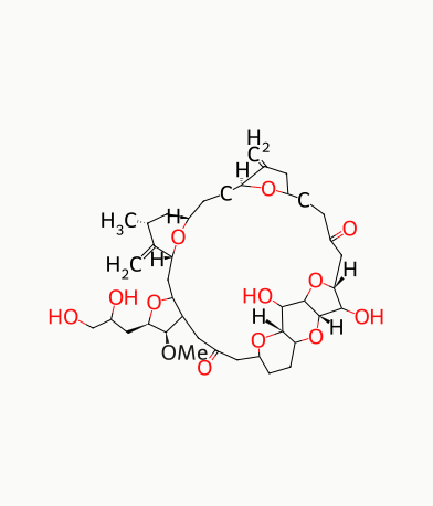 C=C1CC2CCC(=O)C[C@H]3OC4C(O)[C@H]5OC(CCC5O[C@H]4C3O)CC(=O)CC3C(C[C@H]4O[C@@H](CC[C@@H]1O2)C[C@@H](C)C4=C)O[C@H](CC(O)CO)[C@@H]3OC